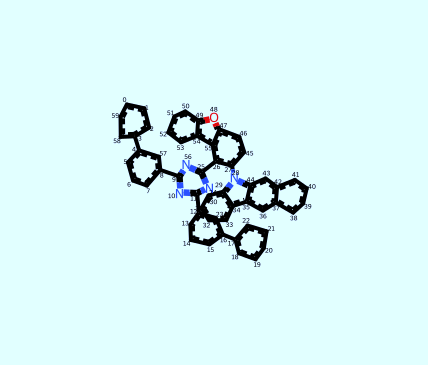 c1ccc(-c2cccc(-c3nc(-c4cccc(-c5ccccc5)c4)nc(-c4c(-n5c6ccccc6c6cc7ccccc7cc65)ccc5oc6ccccc6c45)n3)c2)cc1